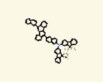 CC1(C)c2ccccc2-c2ccc(N(c3ccc4c(c3)C(C)(C)c3ccccc3-4)c3ccc4cc(-c5cc6c7ccccc7c(-c7ccc8ccccc8c7)cc6c6ccccc56)ccc4c3)cc21